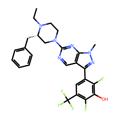 CCN1CCN(c2ncc3c(-c4cc(C(F)(F)F)c(F)c(O)c4F)nn(C)c3n2)C[C@@H]1Cc1ccccc1